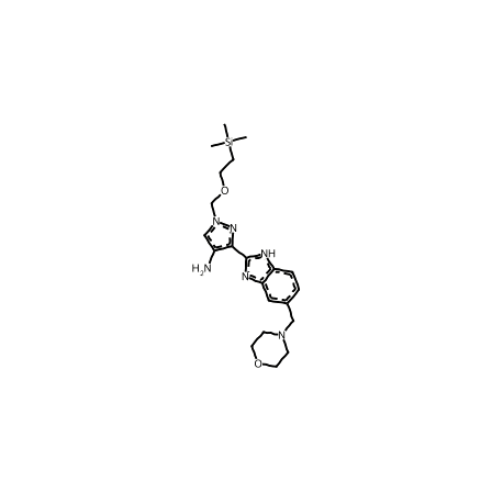 C[Si](C)(C)CCOCn1cc(N)c(-c2nc3cc(CN4CCOCC4)ccc3[nH]2)n1